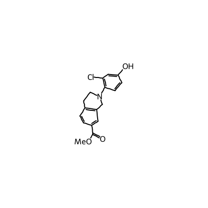 COC(=O)c1ccc2c(c1)CN(c1ccc(O)cc1Cl)CC2